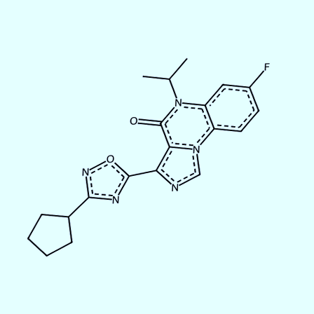 CC(C)n1c(=O)c2c(-c3nc(C4CCCC4)no3)ncn2c2ccc(F)cc21